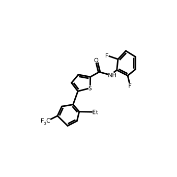 CCc1ccc(C(F)(F)F)cc1-c1ccc(C(=O)Nc2c(F)cccc2F)s1